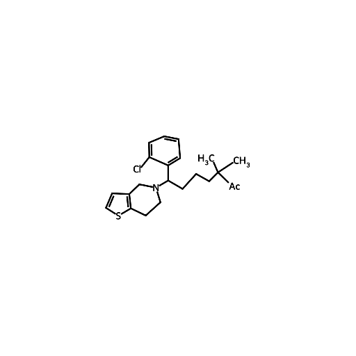 CC(=O)C(C)(C)CCCC(c1ccccc1Cl)N1CCc2sccc2C1